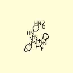 CC(=O)N[C@H]1CC[C@H](Nc2nc(N3CCOCC3)nc(-n3c(C(F)F)nc4ccccc43)n2)CC1